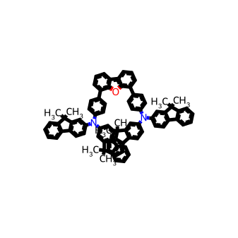 CC1(C)c2ccccc2-c2ccc(N(c3ccc(-c4cccc5c4oc4c(-c6ccc(N(c7ccc8c(c7)C(C)(C)c7ccccc7-8)c7ccc8c(c7)C(C)(C)c7ccccc7-8)cc6)cccc45)cc3)c3ccc4c(c3)C(C)(C)c3ccccc3-4)cc21